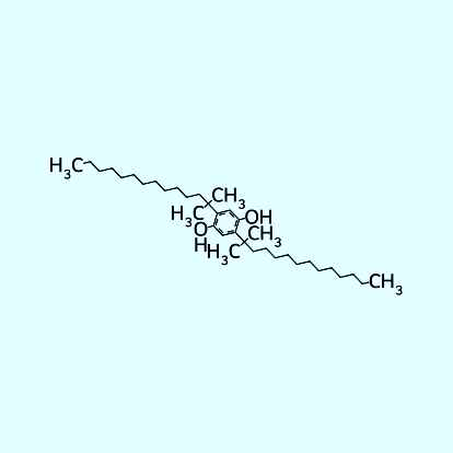 CCCCCCCCCCCCC(C)(C)c1cc(O)c(C(C)(C)CCCCCCCCCCCC)cc1O